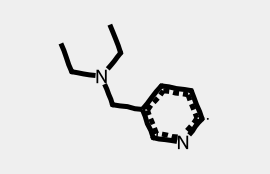 CCN(CC)Cc1cc[c]nc1